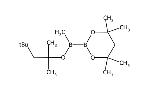 CB(OC(C)(C)CC(C)(C)C)B1OC(C)(C)CC(C)(C)O1